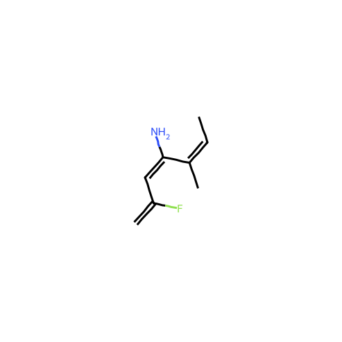 C=C(F)/C=C(N)\C(C)=C/C